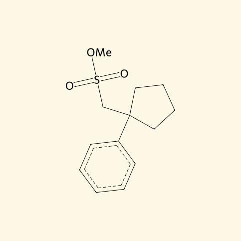 COS(=O)(=O)CC1(c2ccccc2)CCCC1